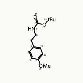 COc1ccc(CCNC(=O)OC(C)(C)C)cc1